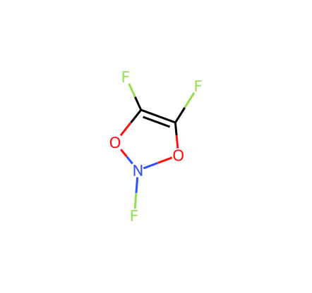 FC1=C(F)ON(F)O1